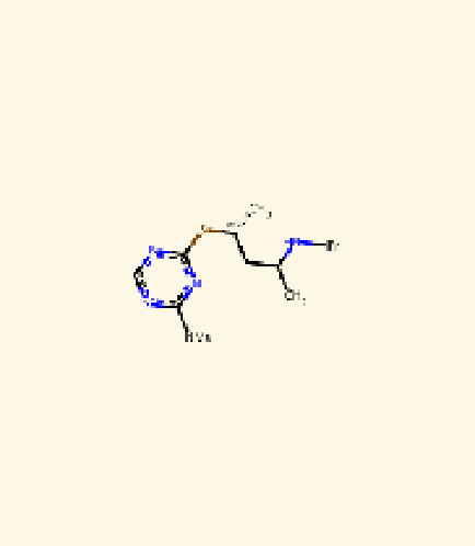 CNc1ncnc(S[C@H](C)CC(C)NC(C)C)n1